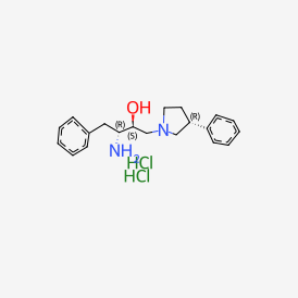 Cl.Cl.N[C@H](Cc1ccccc1)[C@@H](O)CN1CC[C@H](c2ccccc2)C1